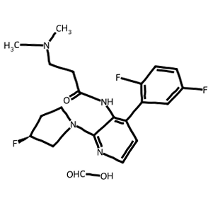 CN(C)CCC(=O)Nc1c(-c2cc(F)ccc2F)ccnc1N1CC[C@H](F)C1.O=CO